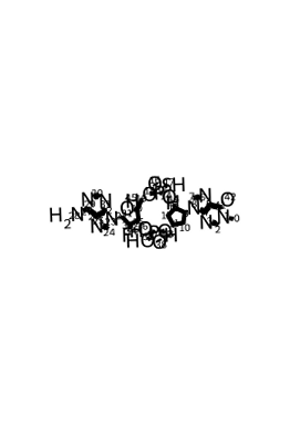 Cn1cnc2c(ncn2[C@@H]2C[C@H]3C[C@H]2OP(=O)(S)OC[C@H]2O[C@@H](n4cnc5c(N)ncnc54)[C@H](F)[C@@H]2OP(=O)(O)O3)c1=O